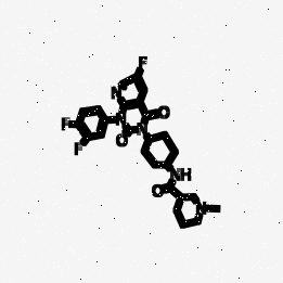 CN1CCCC(C(=O)NC2CCC(n3c(=O)c4cc(F)cnc4n(-c4ccc(F)c(F)c4)c3=O)CC2)C1